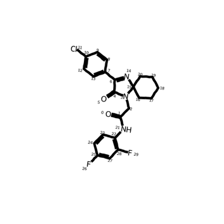 O=C(CN1C(=O)C(c2ccc(Cl)cc2)=NC12CCCCC2)Nc1ccc(F)cc1F